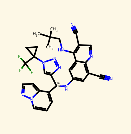 CC(C)(C)CNc1c(C#N)cnc2c(C#N)cc(N[C@H](c3cn(C4(C(F)(F)F)CC4)nn3)c3cccn4nccc34)cc12